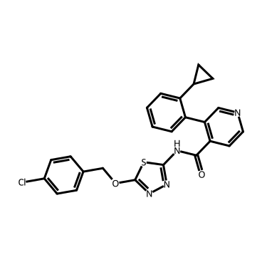 O=C(Nc1nnc(OCc2ccc(Cl)cc2)s1)c1ccncc1-c1ccccc1C1CC1